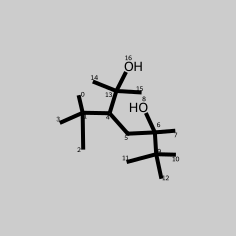 CC(C)(C)C(CC(C)(O)C(C)(C)C)C(C)(C)O